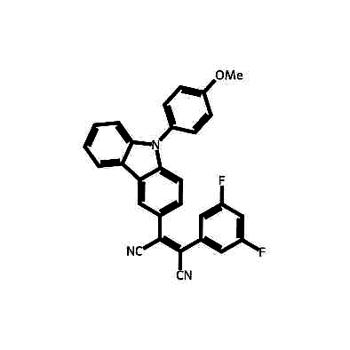 COc1ccc(-n2c3ccccc3c3cc(C(C#N)=C(C#N)c4cc(F)cc(F)c4)ccc32)cc1